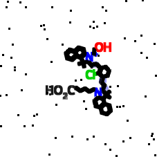 CC1(C)C(/C=C/C2=C(Cl)C(=C/C=C3\N(CCCCCC(=O)O)C4C=CC5=C(C=CCC5)C4C3(C)C)/CCC2)=[N+](CCO)c2ccc3ccccc3c21